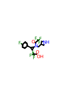 O=C(N(CC1CNC1)C1CC1c1ccc(F)cc1)C(F)(F)F.O=C(O)C(F)(F)F